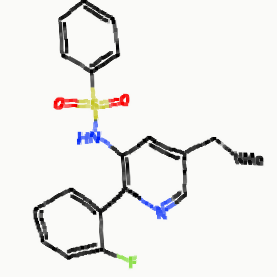 CNCc1cnc(-c2ccccc2F)c(NS(=O)(=O)c2ccccc2)c1